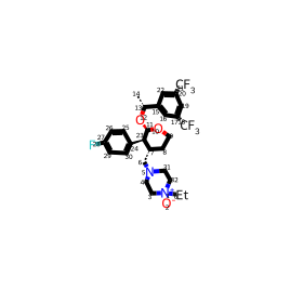 CC[N+]1([O-])CCN(C[C@H]2CCO[C@H](O[C@H](C)c3cc(C(F)(F)F)cc(C(F)(F)F)c3)[C@@H]2c2ccc(F)cc2)CC1